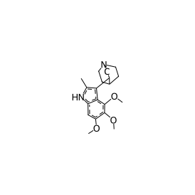 COc1cc2[nH]c(C)c(C3CN4CCC3CC4)c2c(OC)c1OC